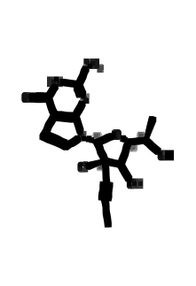 CC#C[C@@]1(Cl)C(O)[C@@H]([C@@H](C)O)O[C@H]1n1ccc2c(=O)[nH]c(N)nc21